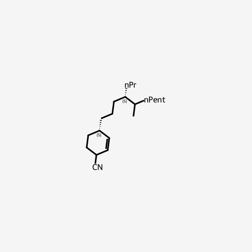 CCCCCC(C)[C@@H](CCC)CCC[C@@H]1C=CC(C#N)CC1